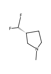 CN1CC[C@@H](C(F)F)C1